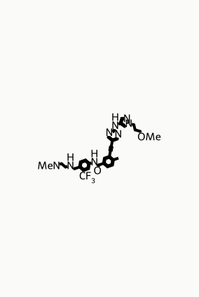 CNCCNCc1ccc(NC(=O)c2ccc(C)c(C#Cc3cnc(Nc4cnn(CCCOC)c4)nc3)c2)cc1C(F)(F)F